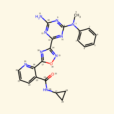 CN(c1ccccc1)c1nc(N)nc(-c2noc(-c3ncccc3C(=O)NC3CC3)n2)n1